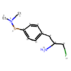 CCN(CC)Sc1ccc(CC(N)CF)cc1